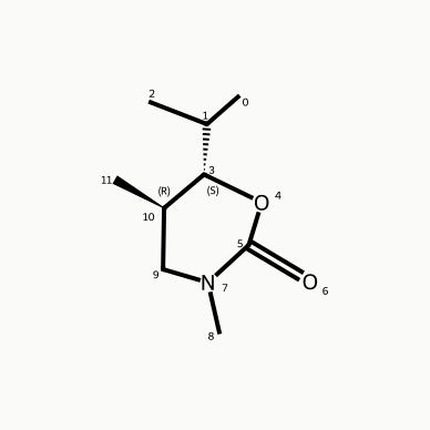 CC(C)[C@@H]1OC(=O)N(C)C[C@H]1C